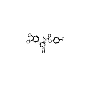 CN(C(=O)Oc1ccc(F)cc1)[C@H]1CNC[C@@H]1c1ccc(Cl)c(Cl)c1